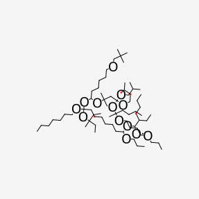 CCCCCCCOC(CCCCCCC(OCCC)OC([O])C(CC)CCCC)(OC(CCCCCOCC(C)(C)C)OC(C)(C)CC(OCCC(C)C)(OCC(C)C)OC(C)(CCCC)OCCCCOCCC)OC(C)(CC)CC